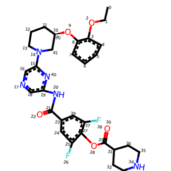 CCOc1ccccc1O[C@@H]1CCCN(c2cncc(NC(=O)c3cc(F)c(OC(=O)C4CCNCC4)c(F)c3)n2)C1